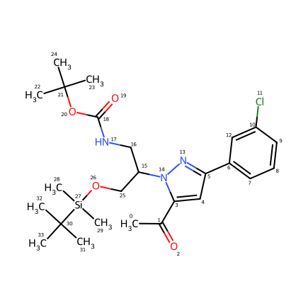 CC(=O)c1cc(-c2cccc(Cl)c2)nn1C(CNC(=O)OC(C)(C)C)CO[Si](C)(C)C(C)(C)C